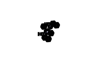 Oc1ccc2ccccc2c1/C=N/[C@H](c1ccccc1)[C@@H](/N=C/c1c(O)ccc2ccccc12)c1ccccc1